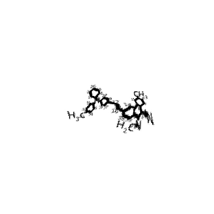 C=Nc1c(C#N)c2ccc(C)cc2c2cc(C=Cc3ccc(N(c4ccccc4)c4ccc(C)cc4)cc3)ccc12